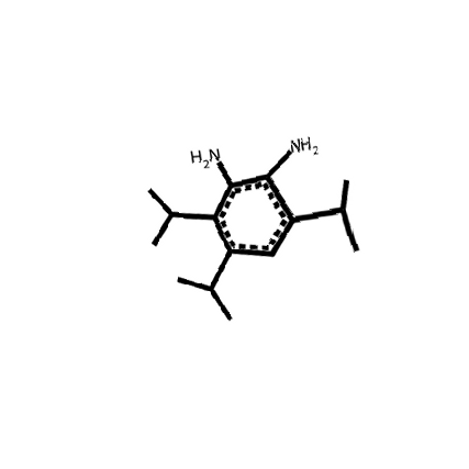 CC(C)c1cc(C(C)C)c(C(C)C)c(N)c1N